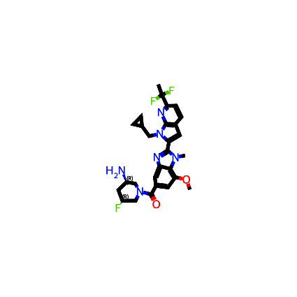 COc1cc(C(=O)N2C[C@H](N)C[C@@H](F)C2)cc2nc(-c3cc4ccc(C(C)(F)F)nc4n3CC3CC3)n(C)c12